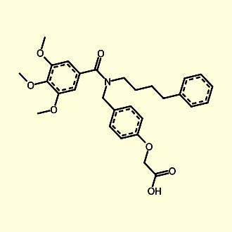 COc1cc(C(=O)N(CCCCc2ccccc2)Cc2ccc(OCC(=O)O)cc2)cc(OC)c1OC